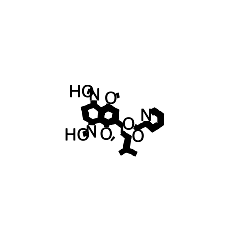 COc1cc([C@H](CC=C(C)C)OC(=O)c2ccccn2)c(OC)c2c1/C(=N/O)C=C/C2=N\O